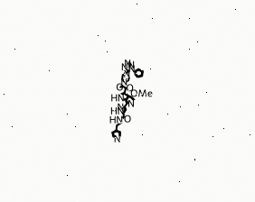 COc1cnc(-c2cc(C(=O)NCCc3ccncc3)[nH]n2)c2[nH]cc(C(=O)C(=O)N3CCN(c4nnnn4-c4ccccc4)CC3)c12